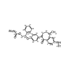 CCNc1ncc2c(n1)N(C)CCN(c1ccc(OC(COC(=O)NC)c3ccccc3)cc1)C2=O